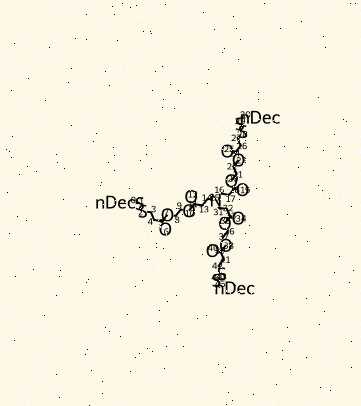 CCCCCCCCCCSSCCC(=O)OCCOC(=O)CCN(CCC(=O)OCCOC(=O)CCSSCCCCCCCCCC)CCC(=O)OCCOC(=O)CCSSCCCCCCCCCC